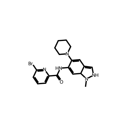 CN1NC=C2C=C(N3CCCCC3)C(NC(=O)c3cccc(Br)n3)=CC21